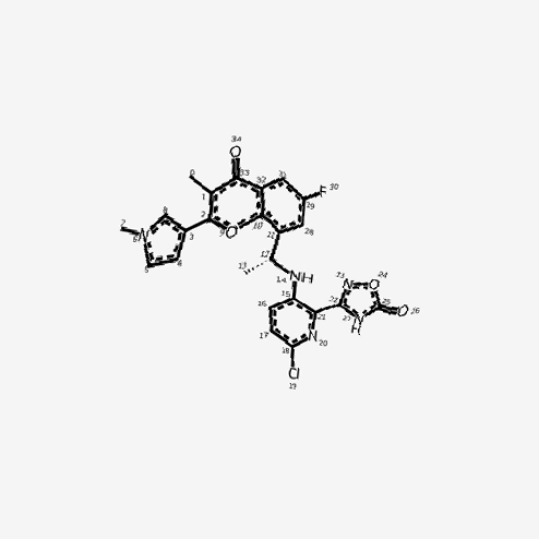 Cc1c(-c2ccn(C)c2)oc2c([C@@H](C)Nc3ccc(Cl)nc3-c3noc(=O)[nH]3)cc(F)cc2c1=O